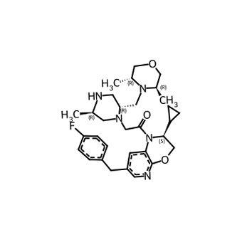 C[C@@H]1CN(CC(=O)N2c3cc(Cc4ccc(F)cc4)cnc3OC[C@@H]2C2CC2)[C@@H](CN2[C@H](C)COC[C@H]2C)CN1